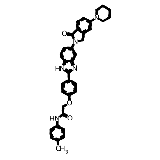 Cc1ccc(NC(=O)COc2ccc(-c3nc4cc(N5Cc6cc(N7CCCCC7)ccc6C5=O)ccc4[nH]3)cc2)cc1